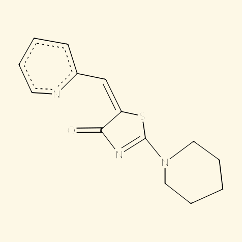 O=C1N=C(N2CCCCC2)S/C1=C/c1ccccn1